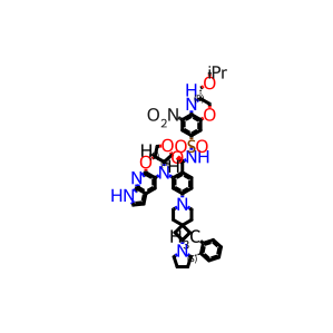 Cc1ccccc1[C@@H]1CCCN1C1CC2(CCN(c3ccc(C(=O)NS(=O)(=O)c4cc5c(c([N+](=O)[O-])c4)N[C@H](COC(C)C)CO5)c(N4c5cc6cc[nH]c6nc5O[C@@H]5COC[C@H]54)c3)CC2)C1